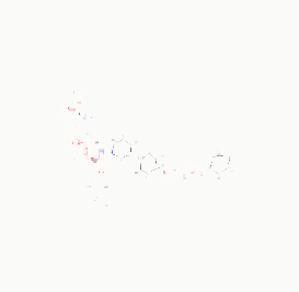 CCCCN(C(=O)ONC(=O)OC(C)(C)C)C(Cc1ccc(-c2ccc(OCCOCc3ccccc3)cc2)cc1)(NC(=O)OCC[Si](C)(C)C)C(C)(O)O